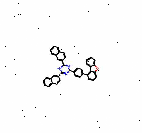 c1ccc2cc(C3=NC(c4ccc(-c5cccc6oc7ccccc7c56)cc4)NC(c4ccc5ccccc5c4)N3)ccc2c1